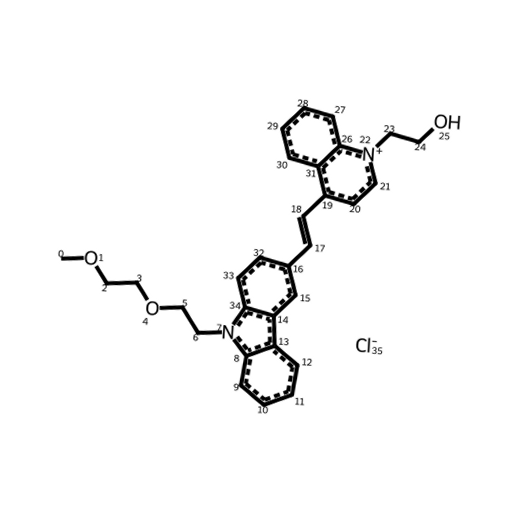 COCCOCCn1c2ccccc2c2cc(/C=C/c3cc[n+](CCO)c4ccccc34)ccc21.[Cl-]